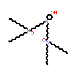 C=CCCCCCCCCN(CCCCCCCCC=C)C(=O)CCCCCCCN(CCCCCCCC(=O)N(CCCCCCCCC=C)CCCCCCCCC=C)C1CCC(O)CC1